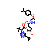 CC(CNC(=O)C1CC(O)CN1C(=O)[C@@H](n1cc(C2CC2)nn1)C(C)(C)C)Oc1ccc(C(C)C)cc1